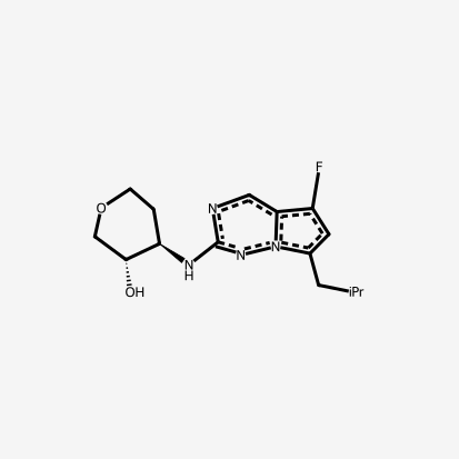 CC(C)Cc1cc(F)c2cnc(N[C@@H]3CCOC[C@H]3O)nn12